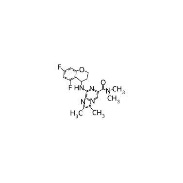 Cc1nc2c(NC3CCOc4cc(F)cc(F)c43)nc(C(=O)N(C)C)cn2c1C